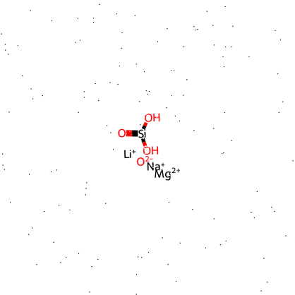 O=[Si](O)O.[Li+].[Mg+2].[Na+].[O-2]